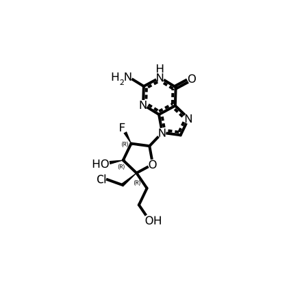 Nc1nc2c(ncn2C2O[C@](CCl)(CCO)[C@@H](O)[C@H]2F)c(=O)[nH]1